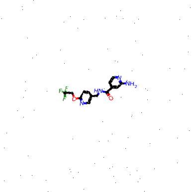 Nc1cc(C(=O)NCc2ccc(OCC(F)(F)F)nc2)ccn1